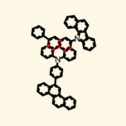 c1ccc(-c2ccc(-c3ccccc3N(c3ccc(-c4cc5c6ccccc6ccc5c5ccccc45)cc3)c3ccccc3-c3ccc(-n4c5ccccc5c5ccc6ccccc6c54)cc3)cc2)cc1